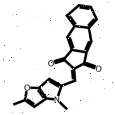 Cc1cc2c(cc(C=C3C(=O)c4cc5ccccc5cc4C3=O)n2C)o1